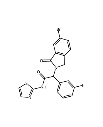 O=C(Nc1nccs1)C(c1cccc(F)c1)N1Cc2ccc(Br)cc2C1=O